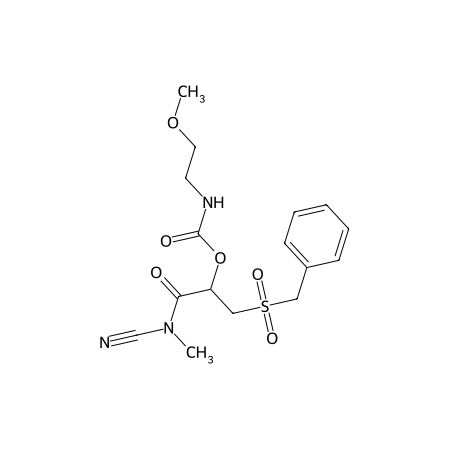 COCCNC(=O)OC(CS(=O)(=O)Cc1ccccc1)C(=O)N(C)C#N